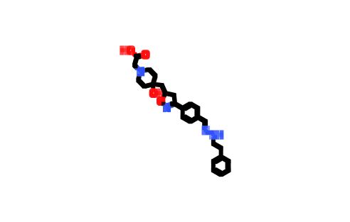 O=C(O)CN1CCC(O)(CC2CC(c3ccc(C=NNCCc4ccccc4)cc3)=NO2)CC1